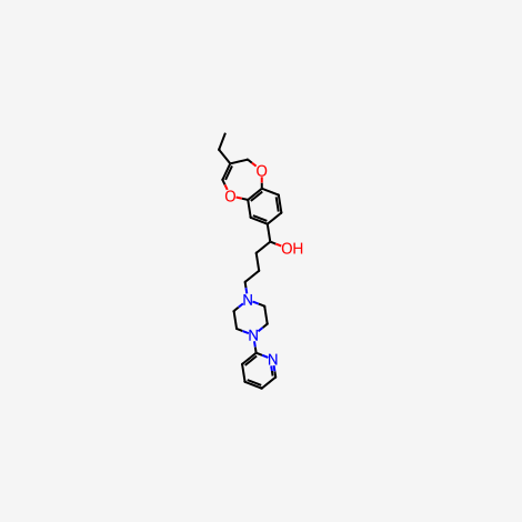 CCC1=COc2cc(C(O)CCCN3CCN(c4ccccn4)CC3)ccc2OC1